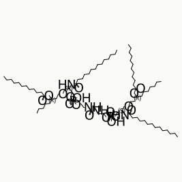 CCCCCCCCCCCCCC(=O)N[C@H](COCC[C@@H](CCCCC)OC(=O)CCCCCCCCCCC)COP(=O)(O)OCCNC(=O)NCCOP(=O)(O)OC[C@H](COCC[C@@H](CCCCCCC)OC(=O)CCCCCCCCCCC)NC(=O)CCCCCCCCCCCCC